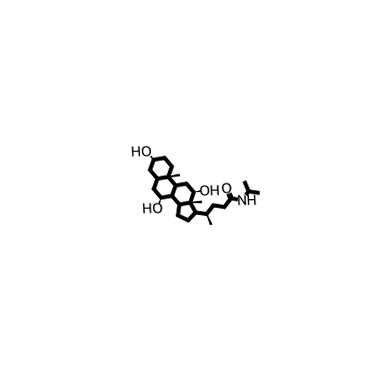 CC(C)NC(=O)CC[C@@H](C)C1CCC2C3C(C[C@H](O)[C@@]21C)[C@@]1(C)CC[C@@H](O)CC1C[C@H]3O